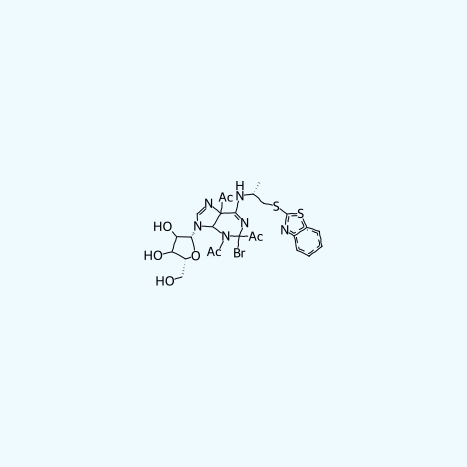 CC(=O)N1C2N([C@@H]3O[C@H](CO)C(O)C3O)C=NC2(C(C)=O)C(N[C@H](C)CSc2nc3ccccc3s2)=NC1(Br)C(C)=O